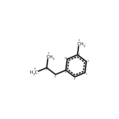 [CH2]c1cccc(C[C](C)C)c1